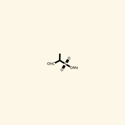 COS(=O)(=O)C(C)[C]=O